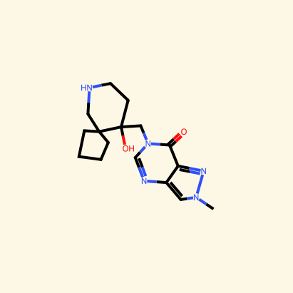 Cn1cc2ncn(CC3(O)CCNCC34CCCC4)c(=O)c2n1